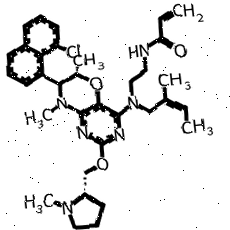 C=CC(=O)NCCN(C/C(C)=C\C)c1nc(OC[C@@H]2CCCN2C)nc2c1O[C@@H](C)C(c1cccc3cccc(Cl)c13)N2C